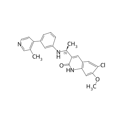 COc1cc2[nH]c(=O)c([C@H](C)Nc3cccc(-c4ccncc4C)c3)cc2cc1Cl